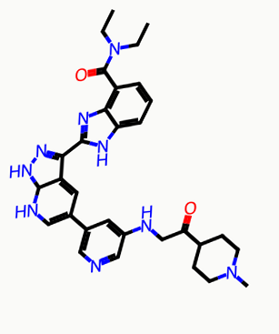 CCN(CC)C(=O)c1cccc2[nH]c(C3=NNC4NC=C(c5cncc(NCC(=O)C6CCN(C)CC6)c5)C=C34)nc12